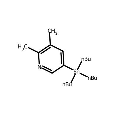 CCC[CH2][Sn]([CH2]CCC)([CH2]CCC)[c]1cnc(C)c(C)c1